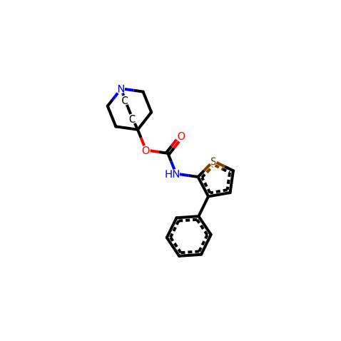 O=C(Nc1sccc1-c1ccccc1)OC12CCN(CC1)CC2